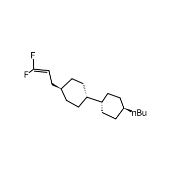 CCCC[C@H]1CC[C@H]([C@H]2CC[C@H](CC=C(F)F)CC2)CC1